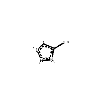 [Ir][c]1conn1